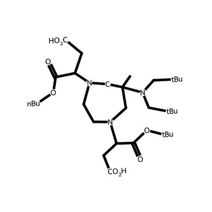 CCCCOC(=O)C(CC(=O)O)N1CCN(C(CC(=O)O)C(=O)OC(C)(C)C)CC(C)(N(CC(C)(C)C)CC(C)(C)C)C1